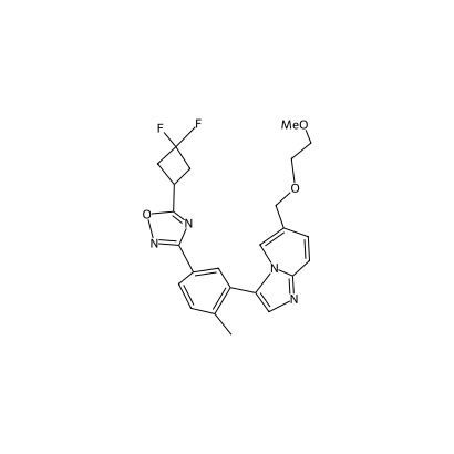 COCCOCc1ccc2ncc(-c3cc(-c4noc(C5CC(F)(F)C5)n4)ccc3C)n2c1